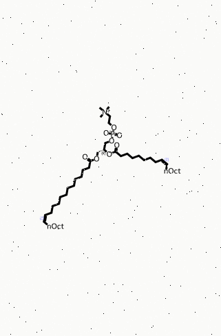 CCCCCCCC/C=C\CCCCCCCCCCCC(=O)OC[C@H](COP(=O)([O-])OCC[N+](C)(C)C)OC(=O)CCCCCCC/C=C\CCCCCCCC